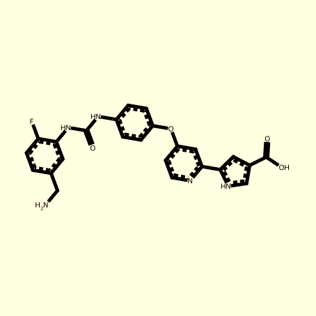 NCc1ccc(F)c(NC(=O)Nc2ccc(Oc3ccnc(-c4cc(C(=O)O)c[nH]4)c3)cc2)c1